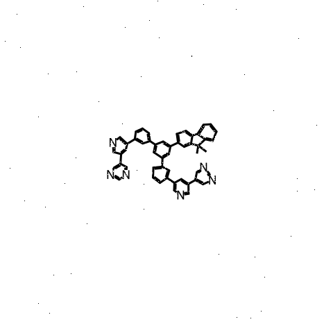 CC1(C)c2ccccc2-c2ccc(-c3cc(-c4cccc(-c5cncc(-c6cncnc6)c5)c4)cc(-c4cccc(-c5cncc(-c6cncnc6)c5)c4)c3)cc21